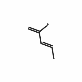 C=C(F)C=CC